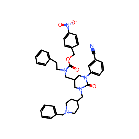 N#Cc1cccc(N2CC(CN(CCc3ccccc3)C(=O)OCc3ccc([N+](=O)[O-])cc3)CN(CC3CCN(Cc4ccccc4)CC3)C2=O)c1